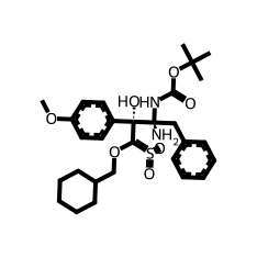 COc1ccc([C@](O)(C(OCC2CCCCC2)=S(=O)=O)[C@](N)(Cc2ccccc2)NC(=O)OC(C)(C)C)cc1